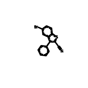 N#Cc1sc2ccc(Br)cc2c1-c1ccccc1